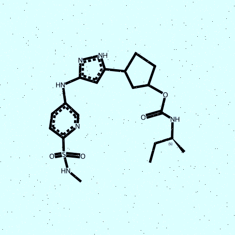 CC[C@H](C)NC(=O)OC1CCC(c2cc(Nc3ccc(S(=O)(=O)NC)nc3)n[nH]2)C1